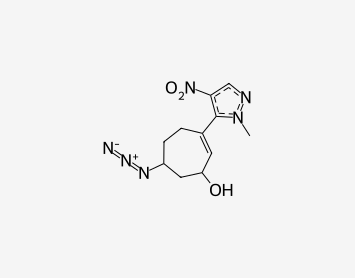 Cn1ncc([N+](=O)[O-])c1C1=CC(O)CC(N=[N+]=[N-])CC1